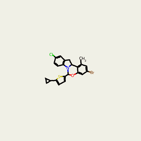 Cc1cc(Br)cc2c1C1Cc3cc(Cl)ccc3N1C(c1ccc(C3CC3)s1)O2